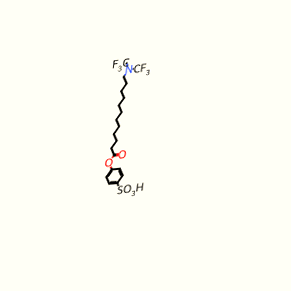 O=C(CCCCCCCCCCCN(C(F)(F)F)C(F)(F)F)Oc1ccc(S(=O)(=O)O)cc1